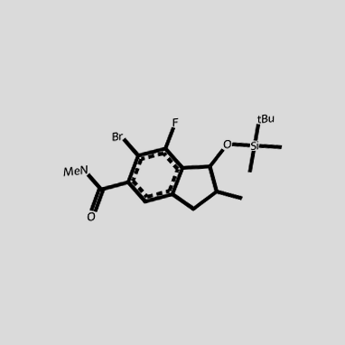 CNC(=O)c1cc2c(c(F)c1Br)C(O[Si](C)(C)C(C)(C)C)C(C)C2